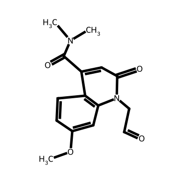 COc1ccc2c(C(=O)N(C)C)cc(=O)n(CC=O)c2c1